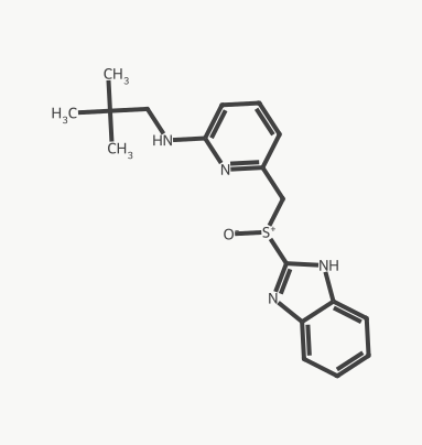 CC(C)(C)CNc1cccc(C[S+]([O-])c2nc3ccccc3[nH]2)n1